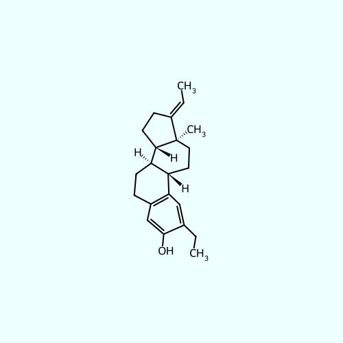 CC=C1CC[C@H]2[C@@H]3CCc4cc(O)c(CC)cc4[C@H]3CC[C@]12C